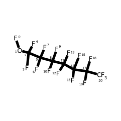 FOC(F)(F)C(F)(F)C(F)(F)C(F)(F)C(F)(F)C(F)(F)C(F)(F)F